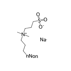 CCCCCCCCCCCC[N+](C)(C)CCCS(=O)(=O)[O-].[Na]